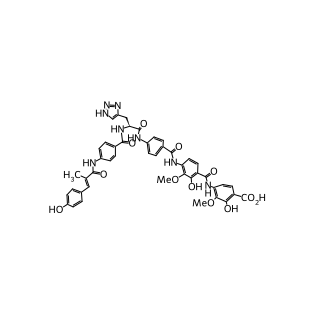 COc1c(NC(=O)c2ccc(NC(=O)c3ccc(NC(=O)[C@H](Cc4c[nH]nn4)NC(=O)c4ccc(NC(=O)/C(C)=C/c5ccc(O)cc5)cc4)cc3)c(OC)c2O)ccc(C(=O)O)c1O